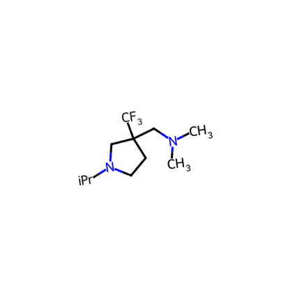 CC(C)N1CCC(CN(C)C)(C(F)(F)F)C1